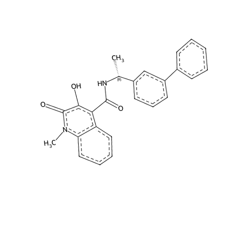 C[C@@H](NC(=O)c1c(O)c(=O)n(C)c2ccccc12)c1cccc(-c2ccccc2)c1